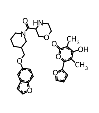 Cc1c(-c2ccco2)oc(=O)c(C)c1O.O=C(C1COCCN1)N1CCCC(COc2ccc3occc3c2)C1